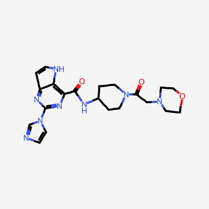 O=C(NC1CCN(C(=O)CN2CCOCC2)CC1)c1nc(-n2ccnc2)nc2cc[nH]c12